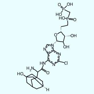 NC(C(=O)Nc1nc(Cl)nc2c1ncn2[C@@H]1O[C@H](CCP(=O)(O)CP(=O)(O)O)[C@H](O)C1O)C12CC3C[C@@H](CC(O)(C3)C1)C2